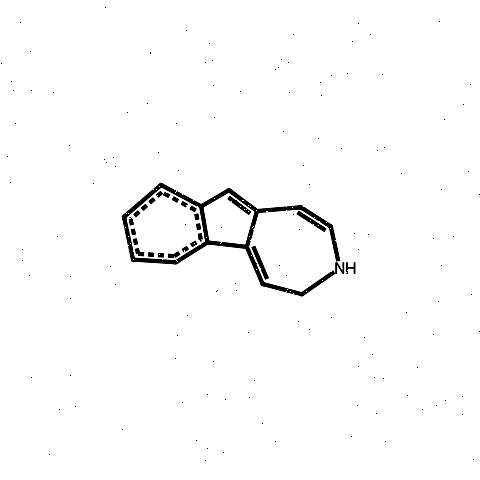 C1=CC2=Cc3ccccc3C2=CCN1